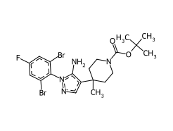 CC(C)(C)OC(=O)N1CCC(C)(c2cnn(-c3c(Br)cc(F)cc3Br)c2N)CC1